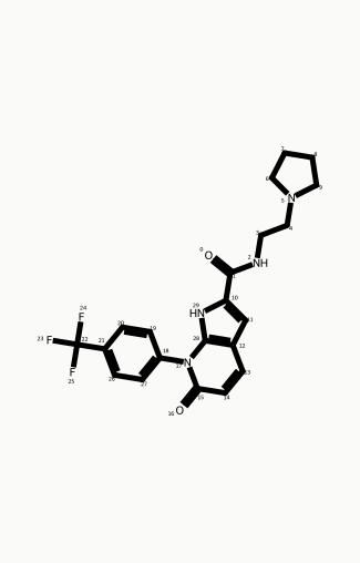 O=C(NCCN1CCCC1)c1cc2ccc(=O)n(-c3ccc(C(F)(F)F)cc3)c2[nH]1